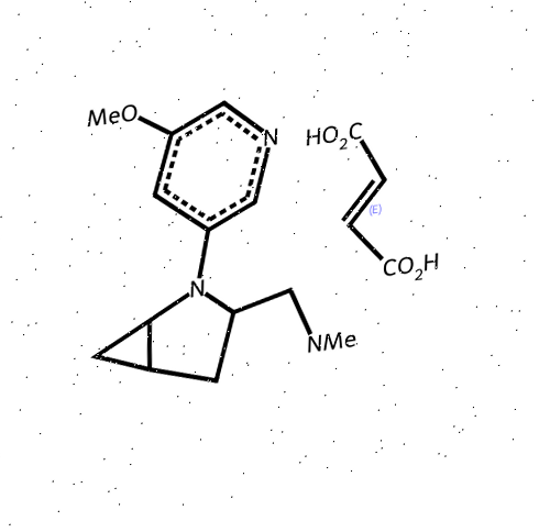 CNCC1CC2CC2N1c1cncc(OC)c1.O=C(O)/C=C/C(=O)O